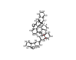 c1ccc(-c2ccc(-c3ccc4ccccc4c3)cc2N(c2cccc(-c3ccc4oc5ccccc5c4c3)c2)c2cccc3oc4ccccc4c23)cc1